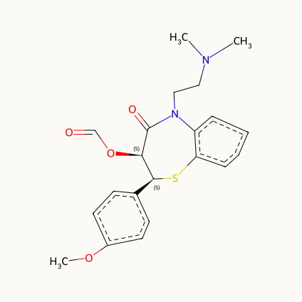 COc1ccc([C@@H]2Sc3ccccc3N(CCN(C)C)C(=O)[C@@H]2OC=O)cc1